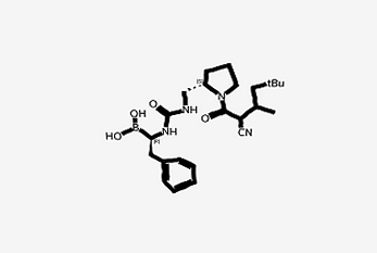 CC(CC(C)(C)C)C(C#N)C(=O)N1CCC[C@H]1CNC(=O)N[C@@H](Cc1ccccc1)B(O)O